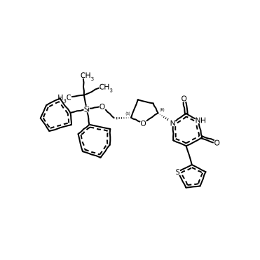 CC(C)(C)[Si](OC[C@@H]1CC[C@H](n2cc(-c3cccs3)c(=O)[nH]c2=O)O1)(c1ccccc1)c1ccccc1